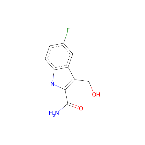 NC(=O)C1=C(CO)c2cc(F)ccc2[N]1